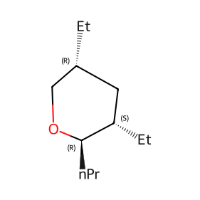 CCC[C@H]1OC[C@H](CC)C[C@@H]1CC